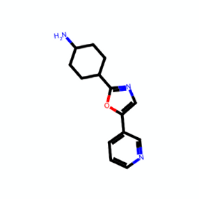 NC1CCC(c2ncc(-c3cccnc3)o2)CC1